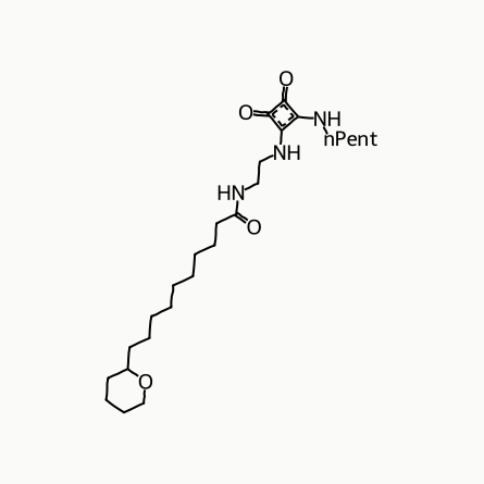 CCCCCNc1c(NCCNC(=O)CCCCCCCCCC2CCCCO2)c(=O)c1=O